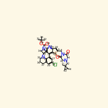 CC1(CN2CC(=O)N(Cc3cc4nccc(-c5cc(Cl)cc6c5N(C5CN(C(=O)OC(C)(C)C)C5)CCC6)c4s3)C(=O)C2)CC1